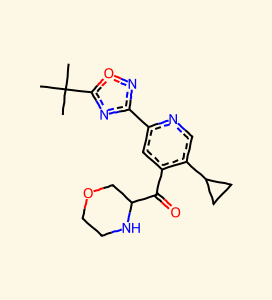 CC(C)(C)c1nc(-c2cc(C(=O)C3COCCN3)c(C3CC3)cn2)no1